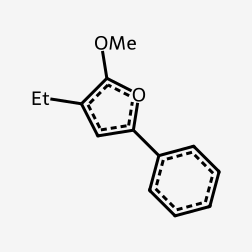 CCc1cc(-c2ccccc2)oc1OC